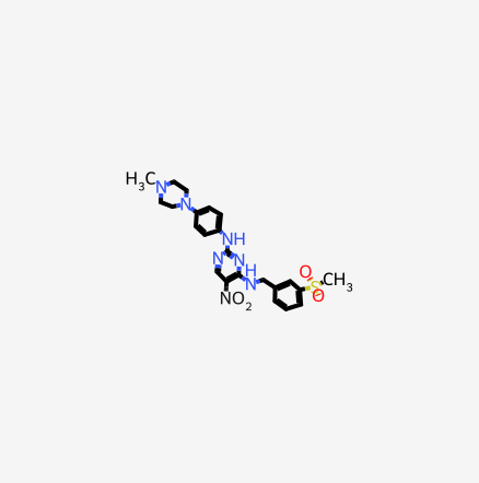 CN1CCN(c2ccc(Nc3ncc([N+](=O)[O-])c(NCc4cccc(S(C)(=O)=O)c4)n3)cc2)CC1